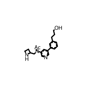 CC(=O)N(CC1CCN1)c1cncc(-c2cccc(CCCO)c2)c1